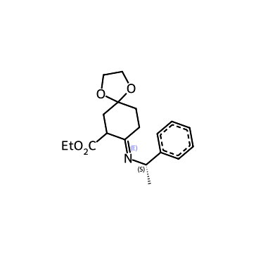 CCOC(=O)C1CC2(CC/C1=N\[C@@H](C)c1ccccc1)OCCO2